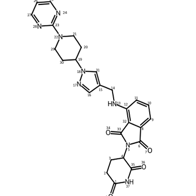 O=C1CCC(N2C(=O)c3cccc(NCc4cnn(C5CCN(c6ncccn6)CC5)c4)c3C2=O)C(=O)N1